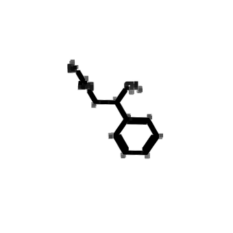 CC([CH2][Mg][Br])c1ccccc1